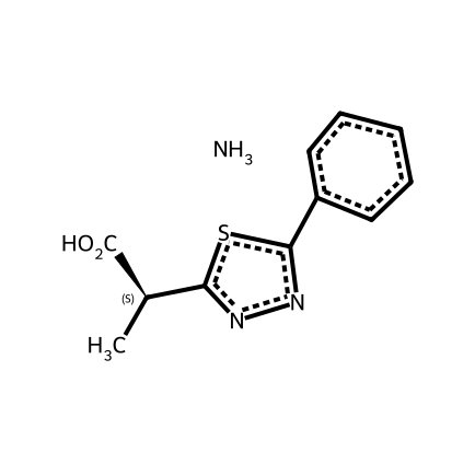 C[C@@H](C(=O)O)c1nnc(-c2ccccc2)s1.N